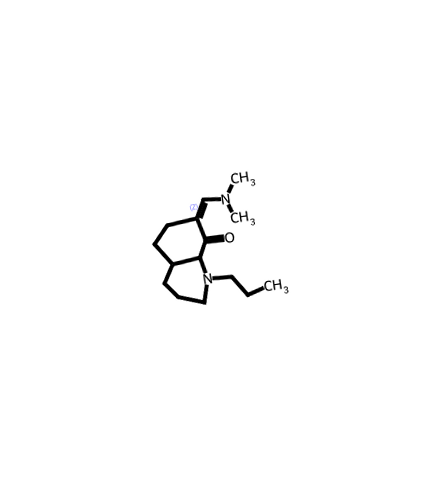 CCCN1CCCC2CC/C(=C/N(C)C)C(=O)C21